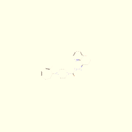 CC1=CC=CCCC1N1CCN(C(=S)N/N=C2/CCOc3cccnc32)CC1